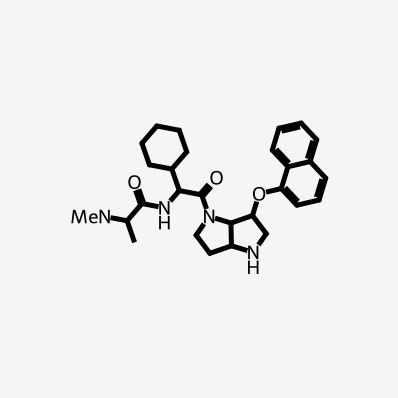 CNC(C)C(=O)NC(C(=O)N1CCC2NCC(Oc3cccc4ccccc34)C21)C1CCCCC1